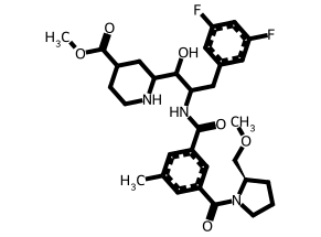 COC[C@H]1CCCN1C(=O)c1cc(C)cc(C(=O)NC(Cc2cc(F)cc(F)c2)C(O)C2CC(C(=O)OC)CCN2)c1